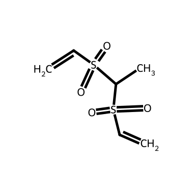 C=CS(=O)(=O)C(C)S(=O)(=O)C=C